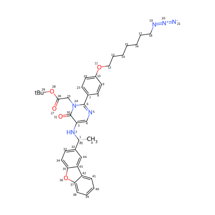 C[C@@H](Nc1cnc(-c2ccc(OCCCCCCCN=[N+]=[N-])cc2)n(CC(=O)OC(C)(C)C)c1=O)c1ccc2oc3ccccc3c2c1